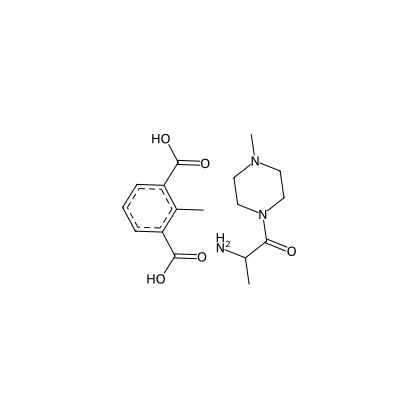 CC(N)C(=O)N1CCN(C)CC1.Cc1c(C(=O)O)cccc1C(=O)O